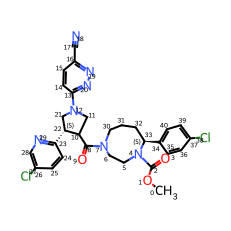 COC(=O)N1CCN(C(=O)C2CN(c3ccc(C#N)nn3)C[C@H]2c2ccc(Cl)cn2)CCC[C@H]1c1ccc(Cl)cc1